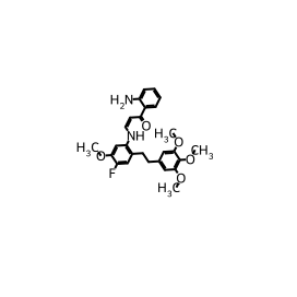 COc1cc(N/C=C\C(=O)c2ccccc2N)c(CCc2cc(OC)c(OC)c(OC)c2)cc1F